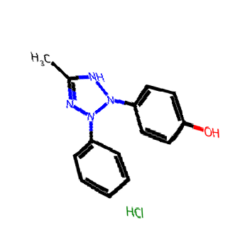 CC1=NN(c2ccccc2)N(c2ccc(O)cc2)N1.Cl